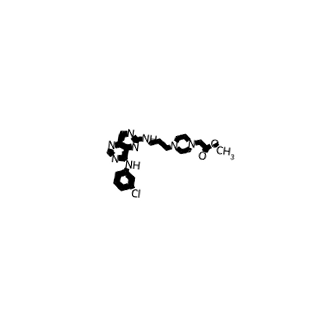 COC(=O)CN1CCN(CCCNc2ncc3ncnc(Nc4cccc(Cl)c4)c3n2)CC1